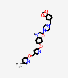 CN(CC(=O)N1CCN(Cc2ccc3c(c2)OCO3)CC1)c1ccc(Oc2ccc(COc3ccc(C(F)(F)F)cn3)cn2)cc1